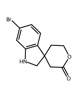 O=C1CC2(CCO1)CNc1cc(Br)ccc12